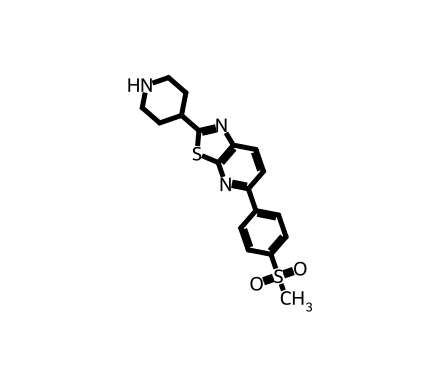 CS(=O)(=O)c1ccc(-c2ccc3nc(C4CCNCC4)sc3n2)cc1